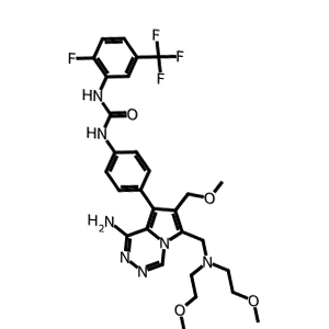 COCCN(CCOC)Cc1c(COC)c(-c2ccc(NC(=O)Nc3cc(C(F)(F)F)ccc3F)cc2)c2c(N)nncn12